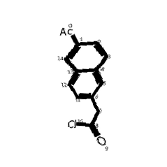 CC(=O)c1ccc2cc(CC(=O)Cl)ccc2c1